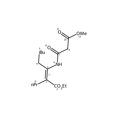 CCC/C(C(=O)OCC)=C(\CC(C)CC)NC(=O)CC(=O)OC